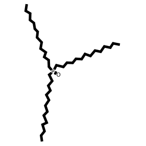 CCCCCCCCCCCCCCP(=O)(CCCCCCCCCCCCCC)CCCCCCCCCCCCCC